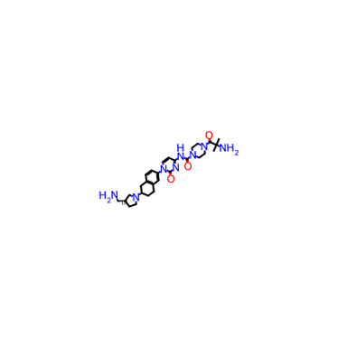 CC(C)(N)C(=O)N1CCN(C(=O)Nc2ccn(-c3ccc4c(c3)CCC(N3CC[C@@H](CN)C3)C4)c(=O)n2)CC1